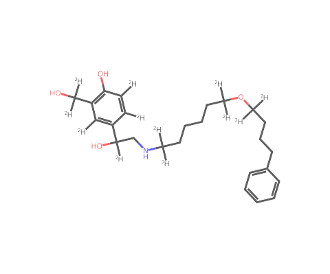 [2H]c1c([2H])c(C([2H])(O)CNC([2H])([2H])CCCCC([2H])([2H])OC([2H])([2H])CCCc2ccccc2)c([2H])c(C([2H])([2H])O)c1O